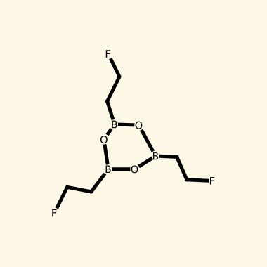 FCCB1OB(CCF)OB(CCF)O1